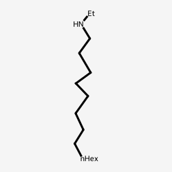 CCCCCCCCCCCCCCNCC